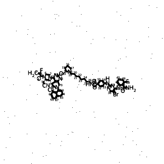 C=C(F)C(=O)N1CCN(c2nc(OC[C@@H]3CCCN3CCCCCCCCNS(=O)(=O)c3ccc(Nc4ncc(Br)c(Nc5cccc(F)c5C(N)=O)n4)cc3)nc3c2CCN(c2cccc4cccc(Cl)c24)C3)C[C@@H]1CC#N